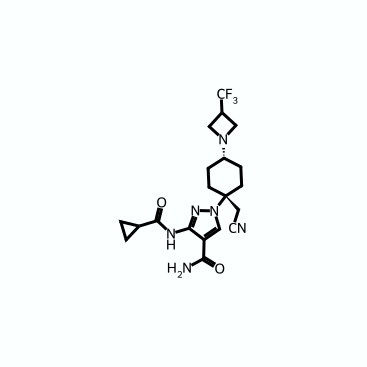 N#CC[C@]1(n2cc(C(N)=O)c(NC(=O)C3CC3)n2)CC[C@@H](N2CC(C(F)(F)F)C2)CC1